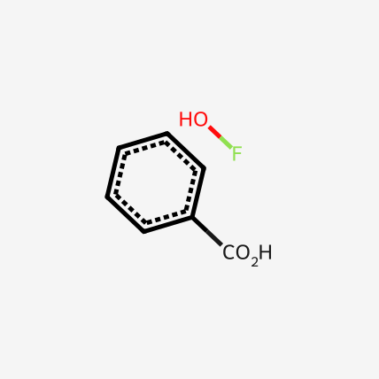 O=C(O)c1ccccc1.OF